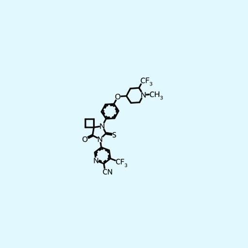 CN1CCC(Oc2ccc(N3C(=S)N(c4cnc(C#N)c(C(F)(F)F)c4)C(=O)C34CCC4)cc2)CC1C(F)(F)F